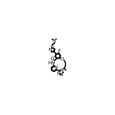 CC1CCCOc2cc(F)c(-c3cnn(CCN(C)C)c3)cc2C(=O)Nc2cccc(n2)-c2nncn21